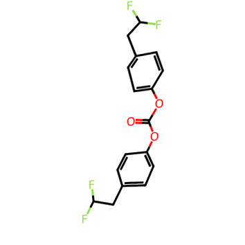 O=C(Oc1ccc(CC(F)F)cc1)Oc1ccc(CC(F)F)cc1